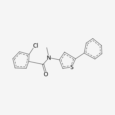 CN(C(=O)c1ccccc1Cl)c1csc(-c2ccccc2)c1